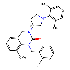 COc1cccc2c1N(Cc1ccccc1C(F)(F)F)C(=O)N([C@@H]1CCN(c3c(C)cccc3C)C1)C2